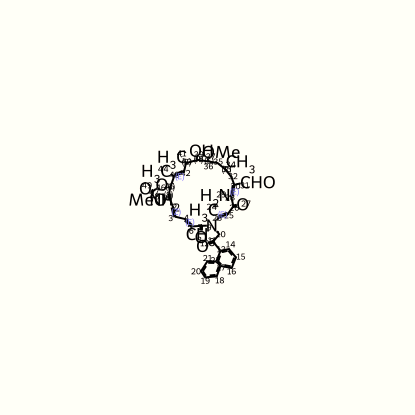 CO[C@H]1/C=C\C=C(/C)C(=O)N(CC(=O)c2cccc3ccccc23)/C(C)=C/C(=O)/C(N)=C(\C=O)C[C@@H](C)C[C@H](OC)[C@H](O)[C@@H](C)/C=C(\C)[C@@H]1OC(N)=O